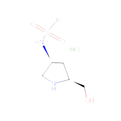 CCS(=O)(=O)N[C@@H]1CN[C@H](CO)C1.Cl